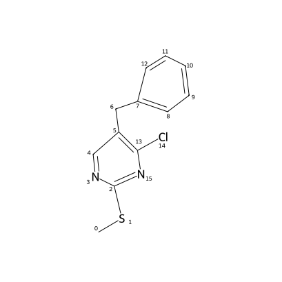 CSc1ncc(Cc2ccccc2)c(Cl)n1